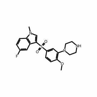 COc1ccc(S(=O)(=O)c2cn(C)c3ccc(F)cc23)cc1N1CCNCC1